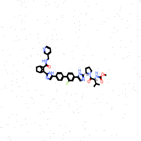 COC(=O)N[C@H](C(=O)N1CCC[C@H]1c1ncc(-c2ccc(-c3ccc(-c4cnc(C5C6CCC(C6)C5C(=O)NCc5cccnc5)[nH]4)cc3)c(F)c2)[nH]1)C(C)C